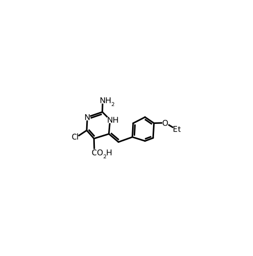 CCOc1ccc(C=C2NC(N)=NC(Cl)=C2C(=O)O)cc1